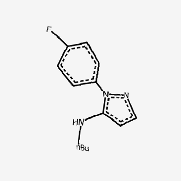 CCCCNc1ccnn1-c1ccc(F)cc1